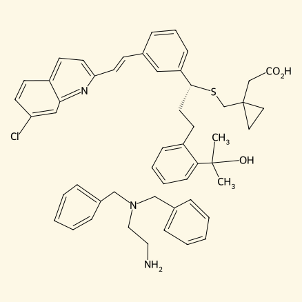 CC(C)(O)c1ccccc1CC[C@@H](SCC1(CC(=O)O)CC1)c1cccc(/C=C/c2ccc3ccc(Cl)cc3n2)c1.NCCN(Cc1ccccc1)Cc1ccccc1